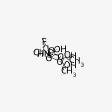 CC[C@@H](O)[C@H]1OC2(C=C(C(=O)O)C(S(=O)(=O)Nc3ccc(F)cc3Cl)CC2)O[C@@H]1[C@H](O)CC